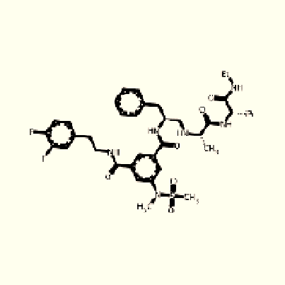 CCNC(=O)[C@@H](NC(=O)[C@H](C)NC[C@H](Cc1ccccc1)NC(=O)c1cc(C(=O)NCCc2ccc(F)c(F)c2)cc(N(C)S(C)(=O)=O)c1)C(C)C